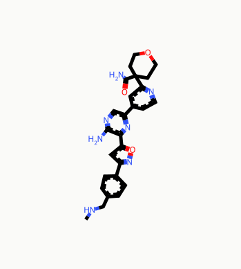 CNCc1ccc(-c2cc(-c3nc(-c4ccnc(C5(C(N)=O)CCOCC5)c4)cnc3N)on2)cc1